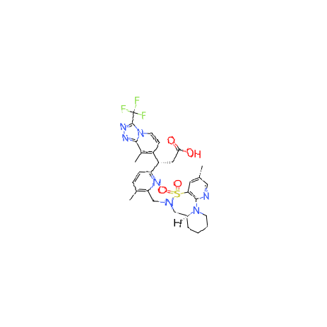 Cc1cnc2c(c1)S(=O)(=O)N(Cc1nc([C@@H](CC(=O)O)c3ccn4c(C(F)(F)F)nnc4c3C)ccc1C)C[C@@H]1CCCCN21